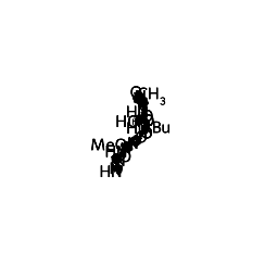 COc1cc(N2CCC(OCC(=O)N[C@H](C(=O)N3C[C@H](O)C[C@H]3C(=O)NCc3ccc4c(ccc(=O)n4C)c3)C(C)(C)C)CC2)ccc1NC(=O)c1cccc(-c2cc[nH]n2)n1